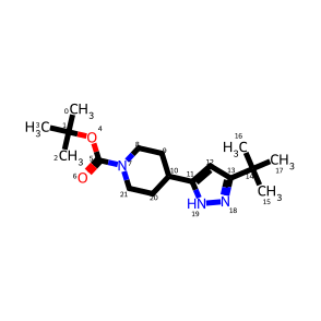 CC(C)(C)OC(=O)N1CCC(c2cc(C(C)(C)C)n[nH]2)CC1